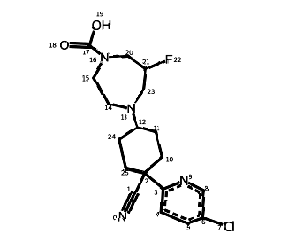 N#CC1(c2ccc(Cl)cn2)CCC(N2CCN(C(=O)O)CC(F)C2)CC1